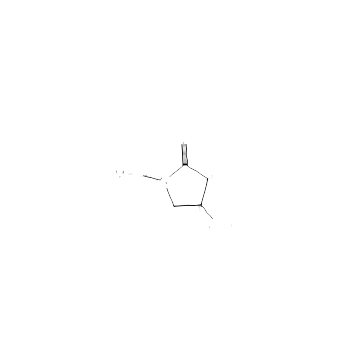 CSN1CC(C(=O)O)CC1=O